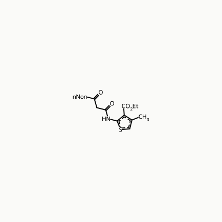 CCCCCCCCCC(=O)CC(=O)Nc1scc(C)c1C(=O)OCC